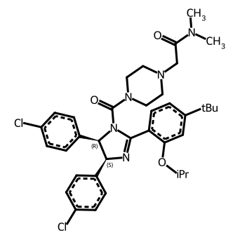 CC(C)Oc1cc(C(C)(C)C)ccc1C1=N[C@@H](c2ccc(Cl)cc2)[C@@H](c2ccc(Cl)cc2)N1C(=O)N1CCN(CC(=O)N(C)C)CC1